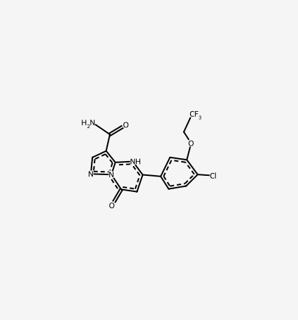 NC(=O)c1cnn2c(=O)cc(-c3ccc(Cl)c(OCC(F)(F)F)c3)[nH]c12